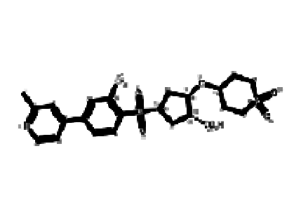 Cc1cc(-c2ccc(S(=O)(=O)[C@H]3C[C@@H](OC4CCS(=O)(=O)CC4)[C@H](C(=O)O)C3)c(C(F)(F)F)c2)ccn1